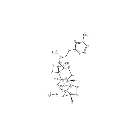 CO[C@@H]1C[C@H]2[C@@H]3CC[C@H]([C@H](C)CCc4cccc(C)n4)[C@@]3(C)CC[C@@H]2[C@@]2(C)CC[C@@H]3CC312